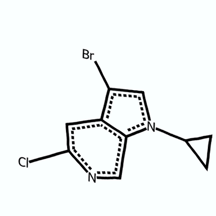 Clc1cc2c(Br)cn(C3CC3)c2cn1